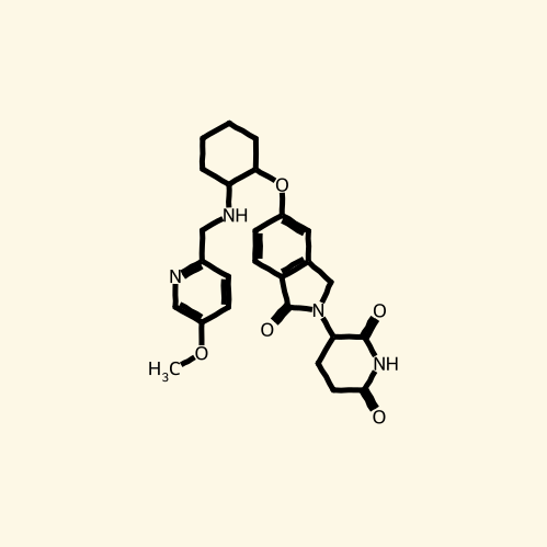 COc1ccc(CNC2CCCCC2Oc2ccc3c(c2)CN(C2CCC(=O)NC2=O)C3=O)nc1